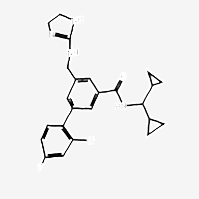 O=C(NC(C1CC1)C1CC1)c1cc(CNC2=NCCN2)cc(-c2ccc(F)cc2Cl)c1